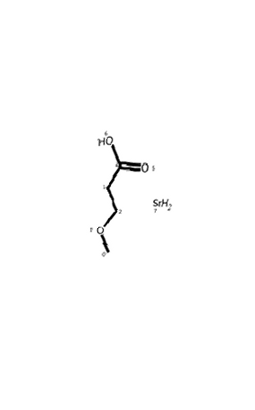 COCCC(=O)O.[SrH2]